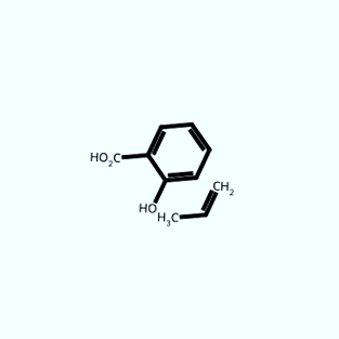 C=CC.O=C(O)c1ccccc1O